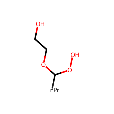 CCCC(OO)OCCO